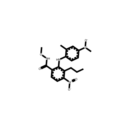 CCCc1c([N+](=O)[O-])ccc(C(=O)NOC)c1Nc1ccc([S+](C)[O-])cc1C